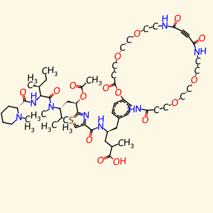 CC[C@H](C)[C@H](NC(=O)[C@H]1CCCCN1C)C(=O)N(C)[C@H](C[C@@H](OC(C)=O)c1nc(C(=O)N[C@@H](Cc2ccc3c(c2)NC(=O)CCOCCOCCNC(=O)C#CC(=O)NCCOCCOCCC(=O)O3)CC(C)C(=O)O)cs1)C(C)C